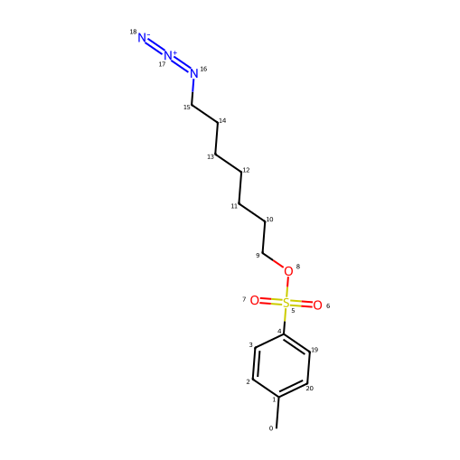 Cc1ccc(S(=O)(=O)OCCCCCCCN=[N+]=[N-])cc1